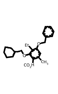 CCc1c(OCc2ccccc2)cc(C)c(C(=O)O)c1OCC1CCCCC1